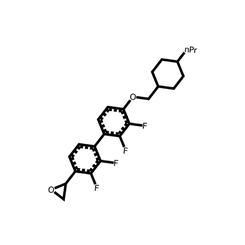 CCCC1CCC(COc2ccc(-c3ccc(C4CO4)c(F)c3F)c(F)c2F)CC1